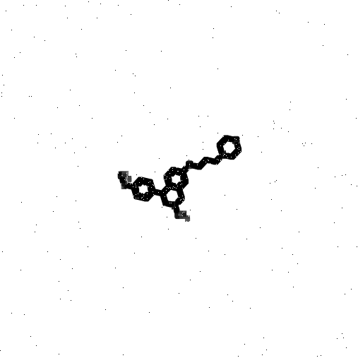 CN1Cc2cc(OCCCN3CCOCC3)ccc2C(c2ccc(SC(F)(F)F)cc2)C1